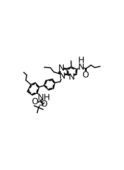 CCCC(=O)Nc1cnc2c(nc(CCC)n2Cc2ccc(-c3cc(CCC)ccc3NS(=O)(=O)C(C)(C)C)cc2)c1C